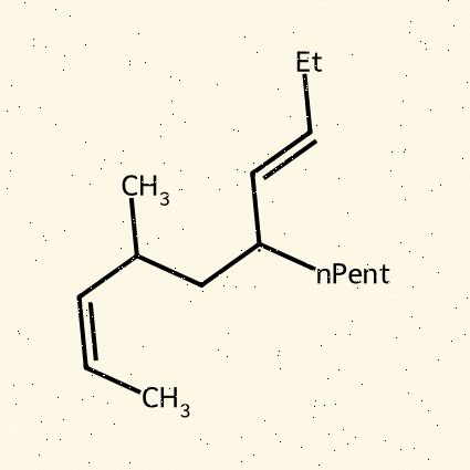 C/C=C\C(C)C[C](/C=C/CC)CCCCC